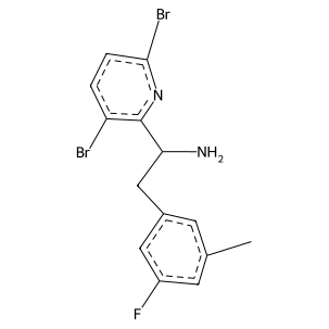 Cc1cc(F)cc(CC(N)c2nc(Br)ccc2Br)c1